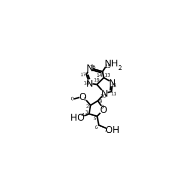 COC1C(O)C(CO)OC1N1C=NC2C(N)=NC=NC21